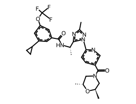 Cc1nc([C@H](C)NC(=O)c2cc(OC(F)(F)F)cc(C3CC3)c2)n(-c2ccc(C(=O)N3C[C@@H](C)O[C@H](C)C3)cn2)n1